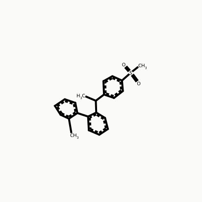 Cc1ccccc1-c1ccccc1C(C)c1ccc(S(C)(=O)=O)cc1